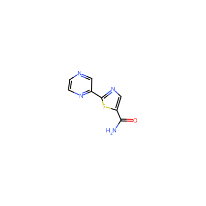 NC(=O)c1cnc(-c2cnccn2)s1